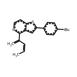 C=C(/C=C\C)c1nccc2sc(-c3ccc(C(C)(C)C)cc3)cc12